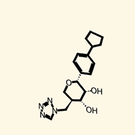 O[C@@H]1[C@@H](Cn2cnnn2)CO[C@H](c2ccc(C3CCCC3)cc2)[C@@H]1O